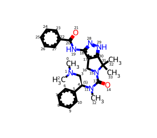 CN(C)C[C@H](c1ccccc1)N(C)C(=O)N1Cc2c(NC(=O)c3ccccc3)n[nH]c2C1(C)C